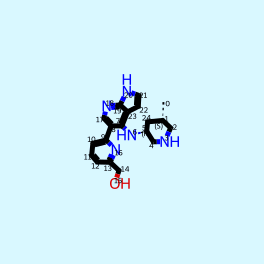 C[C@@H]1CNC[C@H](Nc2c(-c3cccc(CO)n3)cnc3[nH]ccc23)C1